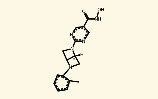 Cc1ccccc1N1C[C@@H]2C1CN2c1ncc(C(=O)NO)cn1